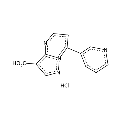 Cl.O=C(O)c1cnn2c(-c3cccnc3)ccnc12